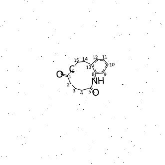 O=C1CCCC(=O)Nc2ccccc2CCC1